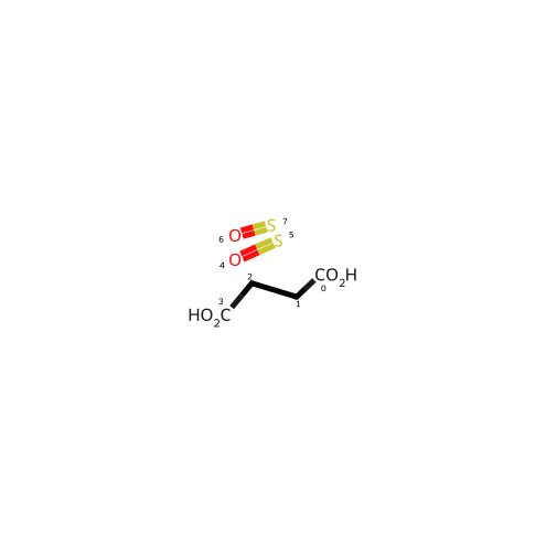 O=C(O)CCC(=O)O.O=S.O=S